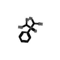 CCC(O)P(=O)(c1ccccc1)C(O)CC